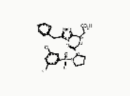 O=C(O)C[C@@H](NC(=O)[C@@H]1CCCN1S(=O)(=O)c1cc(Cl)cc(Cl)c1)c1nc(Cc2ccccc2)no1